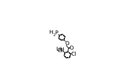 O=C(COc1ccc(P)cc1)c1c(Cl)cccc1Cl.[LiH]